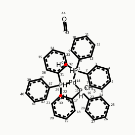 C[PH](c1ccccc1)(c1ccccc1)[Pd]([PH](C)(c1ccccc1)c1ccccc1)[PH](C)(c1ccccc1)c1ccccc1.[C]=O